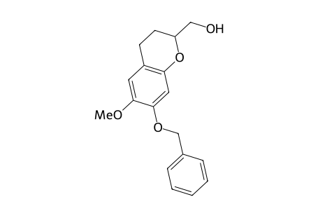 COc1cc2c(cc1OCc1ccccc1)OC(CO)CC2